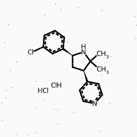 CC1(C)N[C@H](c2cccc(Cl)c2)C[C@@H]1c1ccncc1.Cl.Cl